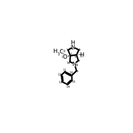 CO[C@]12CNC[C@H]1CN(Cc1ccccc1)C2